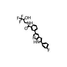 O=C(NCC(O)C(F)(F)F)c1cccc(-c2cnc3[nH]c(-c4ccc(F)cc4)cc3c2)c1